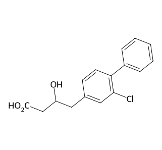 O=C(O)CC(O)Cc1ccc(-c2ccccc2)c(Cl)c1